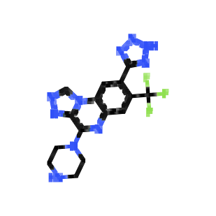 FC(F)(F)c1cc2nc(N3CCNCC3)c3nncn3c2cc1-c1nn[nH]n1